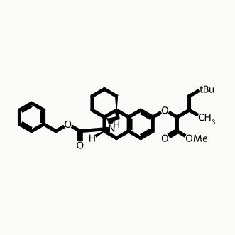 COC(=O)C(Oc1ccc2c(c1)[C@@]13CCCC[C@H]1[C@@H](C2)N(C(=O)OCc1ccccc1)CC3)C(C)CC(C)(C)C